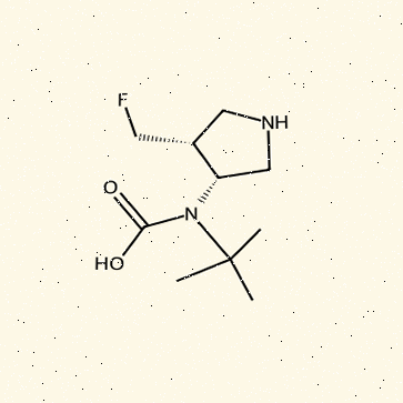 CC(C)(C)N(C(=O)O)[C@H]1CNC[C@H]1CF